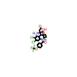 NC(CC=O)(C(=O)O)C1c2cc(Cl)c(Cl)cc2N(C(=O)c2ccc(OC(F)(F)F)cc2)[C@@H]2CC[C@H]12